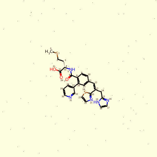 CSCC[C@H](NC(=O)c1ccc(C=C(Cc2ncc[nH]2)c2nccs2)cc1-c1cccnc1)C(=O)O